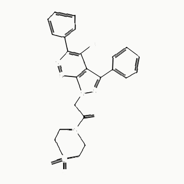 O=C(Cn1nc(-c2ccccc2)c2c(Cl)c(-c3ccccc3)nnc21)N1CCS(=O)(=O)CC1